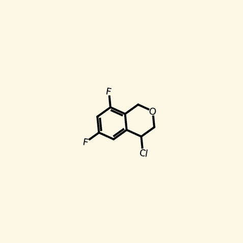 Fc1cc(F)c2c(c1)C(Cl)COC2